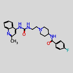 Cc1cc(NC(=O)NCCN2CCC(NC(=O)c3ccc(F)cc3)CC2)c2ccccc2n1